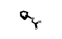 O=C(S)CNc1ccccc1